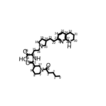 CCCCC(=O)N1CCCC(C(=O)NC(CCN2CCC(CCc3ccc4c(n3)NCCC4)C2)C(=O)O)C1